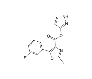 Cc1nc(C(=O)Oc2cc[nH]n2)c(-c2cccc(F)c2)o1